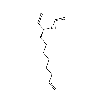 C=CCCCCCC[C@@H](C=O)NC=O